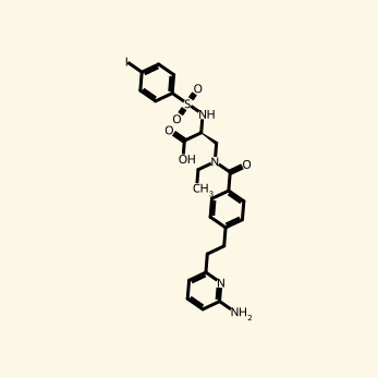 CCN(C[C@H](NS(=O)(=O)c1ccc(I)cc1)C(=O)O)C(=O)c1ccc(CCc2cccc(N)n2)cc1